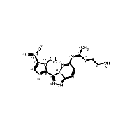 CC(=Nc1ccc2nnc(-c3ncc([N+](=O)[O-])n3C)n2n1)NCCO